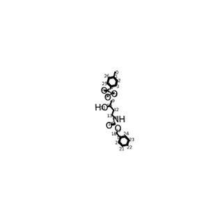 Cc1ccc(S(=O)(=O)OCC(O)CCNC(=O)OCc2ccccc2)cc1